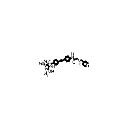 C=C(NC(C(=O)NO)[C@@H](C)O)c1ccc(C#Cc2ccc(NC(=O)CNCc3ccncc3)cc2)cc1